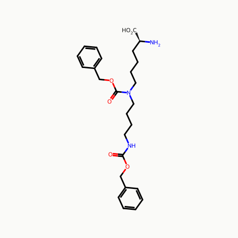 N[C@@H](CCCCN(CCCCNC(=O)OCc1ccccc1)C(=O)OCc1ccccc1)C(=O)O